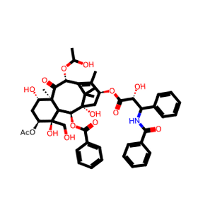 CC(=O)O[C@H]1C[C@H](O)[C@@]2(C)C(=O)[C@H](OC(C)O)C3=C(C)[C@@H](OC(=O)[C@H](O)C(NC(=O)c4ccccc4)c4ccccc4)C[C@@](O)([C@@H](OC(=O)c4ccccc4)C2[C@]1(O)CO)C3(C)C